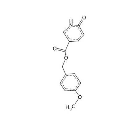 COc1ccc(COC(=O)c2ccc(=O)[nH]c2)cc1